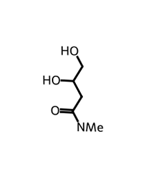 CNC(=O)CC(O)CO